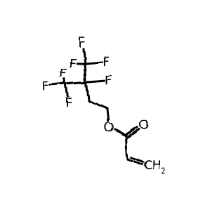 C=CC(=O)OCCC(F)(C(F)(F)F)C(F)(F)F